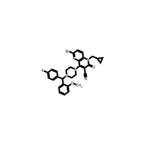 COc1ccccc1C(c1ccc(F)cc1)N1CCN(c2c(C#N)c(=O)n(CC3CC3)c3ccc(Br)nc23)CC1